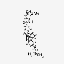 COc1cc(NC(=O)C2CCC(n3c(=O)[nH]c4c(-c5cccc(OCCN(C)C)c5)cccc43)CC2)ccc1C